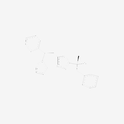 C[C@@](N)(Cc1ccccc1)c1nnc(CC(c2ccccc2)c2ccco2)o1